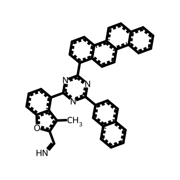 Cc1c(C=N)oc2cccc(-c3nc(-c4ccc5ccccc5c4)nc(-c4cccc5c4ccc4c6ccccc6ccc54)n3)c12